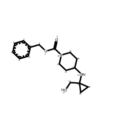 O=C(OCc1ccccc1)N1CCC(NC2(CO)CC2)CC1